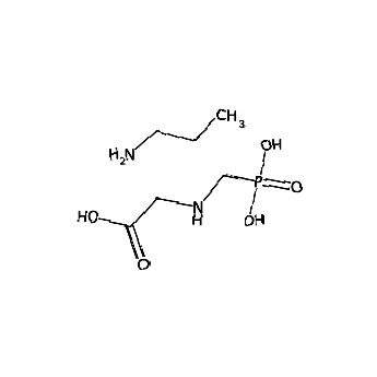 CCCN.O=C(O)CNCP(=O)(O)O